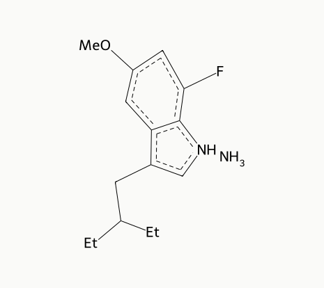 CCC(CC)Cc1c[nH]c2c(F)cc(OC)cc12.N